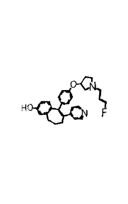 Oc1ccc2c(c1)CCCC(c1ccncc1)=C2c1ccc(O[C@H]2CCN(CCCF)C2)cc1